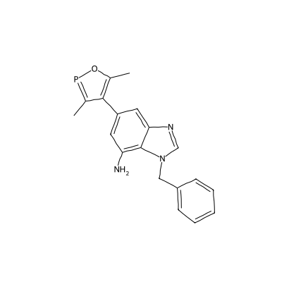 Cc1opc(C)c1-c1cc(N)c2c(c1)ncn2Cc1ccccc1